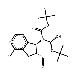 CC(C)(C)OC(=O)N(C(O)OC(C)(C)C)[C@@H]1c2ccnc(Cl)c2C[C@H]1C=O